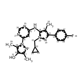 Cc1nn(-c2cc(Nc3c(C)c(-c4ccc(F)cc4)nn3CC3CC3)ncn2)c(C)c1O